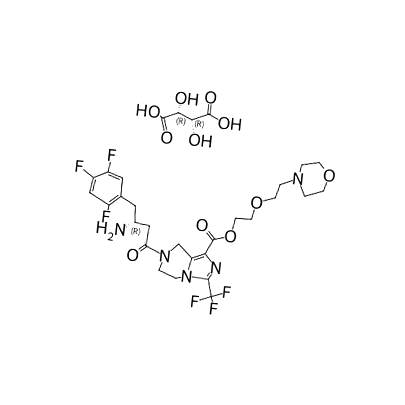 N[C@@H](CC(=O)N1CCn2c(C(F)(F)F)nc(C(=O)OCCOCCN3CCOCC3)c2C1)Cc1cc(F)c(F)cc1F.O=C(O)[C@H](O)[C@@H](O)C(=O)O